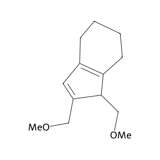 COCC1=CC2=C(CCCC2)C1COC